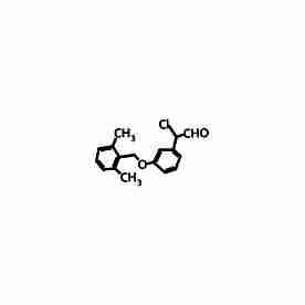 Cc1cccc(C)c1COc1cccc(C(Cl)C=O)c1